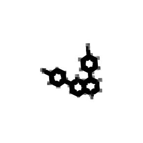 Fc1ccc(-c2ccc3ncnc(-c4ccc(F)cc4)c3n2)cc1